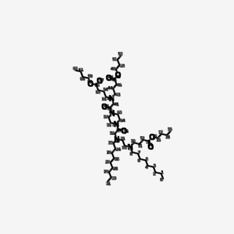 CCCCCCCCCN(CCCC(=O)OCCCC)CCN(CCCCCCCCC)CC(=O)N1CCN(C(=O)CN(CCCC(=O)OCCCC)CCCC(=O)OCCCC)CC1